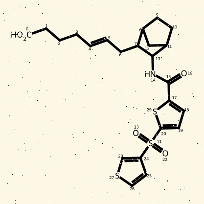 O=C(O)CCC/C=C/CC1C2CCC(C2)C1NC(=O)c1ccc(S(=O)(=O)c2ccsc2)s1